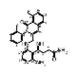 Cc1ccccc1-n1c(CNc2ncnc(N)c2C(=N)CCC(N)=O)cc2cccc(C)c2c1=O